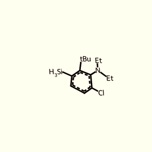 CCN(CC)c1c(Cl)ccc([SiH3])c1C(C)(C)C